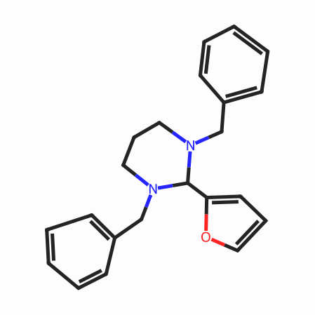 c1ccc(CN2CCCN(Cc3ccccc3)C2c2ccco2)cc1